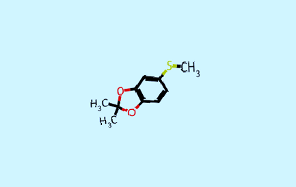 CSc1ccc2c(c1)OC(C)(C)O2